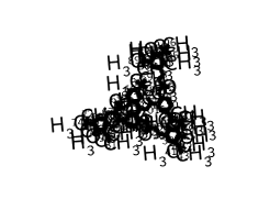 Cc1c(CCC(=O)Oc2ccc(C(C)(C)C)cc2C(C)CC(c2cc(C(C)(C)C)ccc2OC(=O)CCc2cc(C(C)(C)C)c(O)c(C(C)(C)C)c2C)c2cc(C(C)(C)C)ccc2OC(=O)CCc2cc(C(C)(C)C)c(O)c(C(C)(C)C)c2C)cc(C(C)(C)C)c(O)c1C(C)(C)C